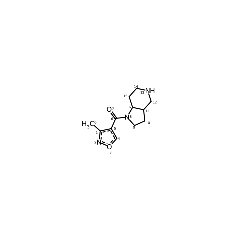 Cc1nocc1C(=O)N1CCC2CNCCC21